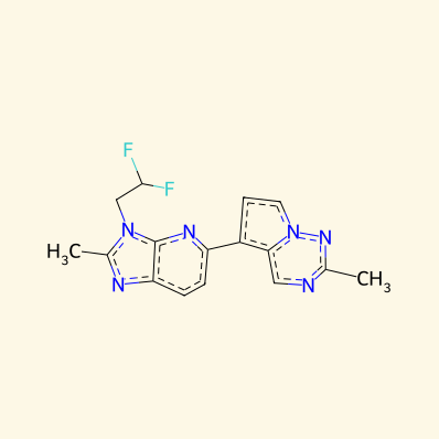 Cc1ncc2c(-c3ccc4nc(C)n(CC(F)F)c4n3)ccn2n1